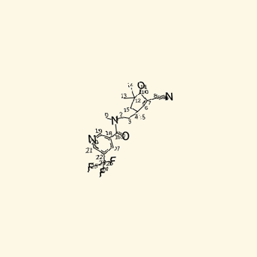 CN(CC[C@]1(C)C=C(C#N)C(=O)C(C)(C)C1)C(=O)c1cncc(C(F)(F)F)c1